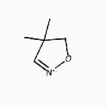 CC1(C)C=[N+]OC1